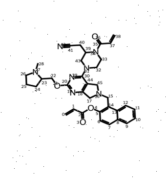 C=CC(=O)Oc1ccc2ccccc2c1CN1Cc2nc(OCC3CCCN3C)nc(N3CCN(C(=O)C=C)C(CC#N)C3)c2C1